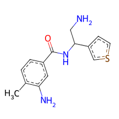 Cc1ccc(C(=O)NC(CN)c2ccsc2)cc1N